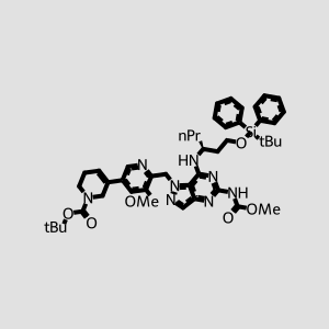 CCC[C@@H](CCO[Si](c1ccccc1)(c1ccccc1)C(C)(C)C)Nc1nc(NC(=O)OC)nc2cnn(Cc3ncc(C4=CCCN(C(=O)OC(C)(C)C)C4)cc3OC)c12